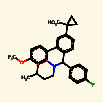 CC1CCN(C(c2ccc(F)cc2)c2ccc(C3(C(=O)O)CC3)cc2-c2ccc(OC(F)(F)F)cc2)CC1